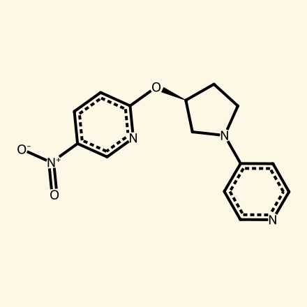 O=[N+]([O-])c1ccc(O[C@H]2CCN(c3ccncc3)C2)nc1